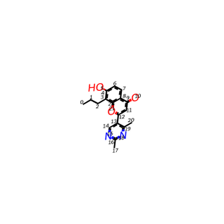 CCCc1c(O)ccc2c(=O)cc(-c3cnc(C)nc3C)oc12